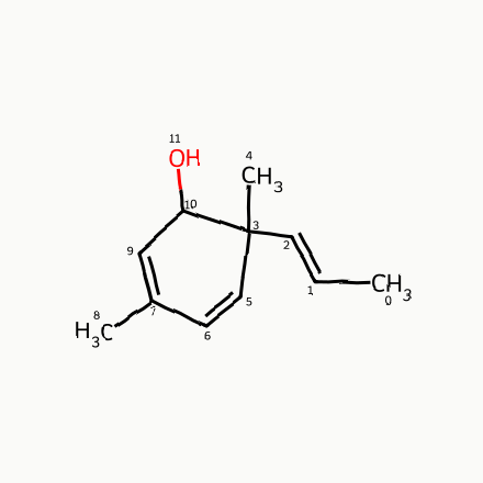 CC=CC1(C)C=CC(C)=CC1O